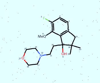 COc1c(F)ccc2c1C(O)(CCN1CCOCC1)C(C)(C)C2